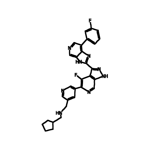 Fc1cccc(-c2cncc3[nH]c(-c4n[nH]c5cnc(-c6cncc(CNCC7CCCC7)c6)c(F)c45)nc23)c1